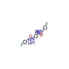 O=C(NCc1ccc(F)cc1)Nc1ccc2c(cnn2C(=O)NCc2ccc(F)cc2)c1